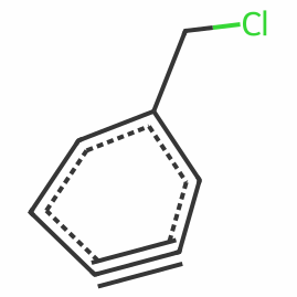 ClCc1cc#ccc1